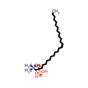 C=CCCCCCCCCCC/C=C\CCCCCCCCCCC(O)(C[N+](C)(C)C)P(=O)(O)O